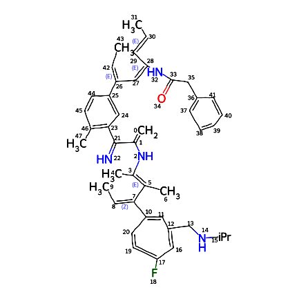 C=C(N/C(C)=C(C)/C(=C\C)C1=CC(CNC(C)C)=CC(F)=C=C1)C(=N)c1cc(C(/C=C(\C=C\C)NC(=O)Cc2ccccc2)=C/C)ccc1C